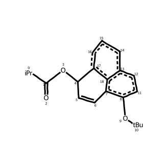 CC(C)C(=O)OC1C=Cc2c(OC(C)(C)C)ccc3cccc1c23